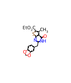 CCOC(=O)c1sc2nc(Cc3ccc4c(c3)OCO4)[nH]c(=O)c2c1C